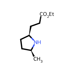 CCOC(=O)CC[C@@H]1CC[C@H](C)N1